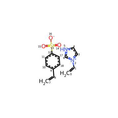 C=C[n+]1cc[nH]c1.C=Cc1ccc(S(=O)(=O)[O-])cc1